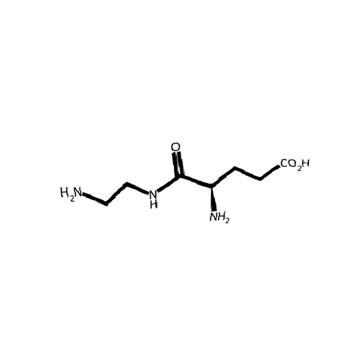 NCCNC(=O)[C@H](N)CCC(=O)O